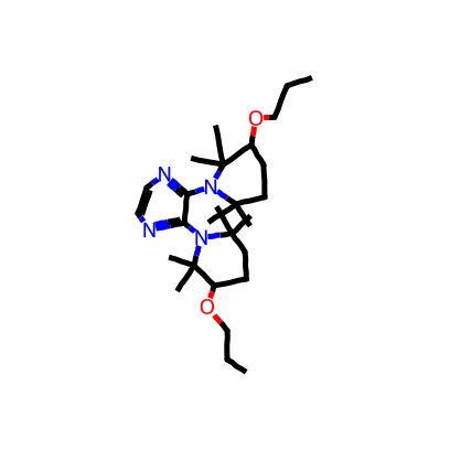 CCCOC1CCC(C)(C)N(c2nccnc2N2C(C)(C)CCC(OCCC)C2(C)C)C1(C)C